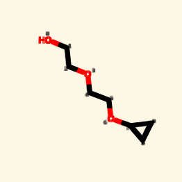 OCCOCCO[C]1CC1